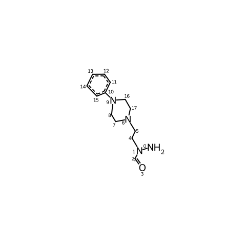 NN([C]=O)CCN1CCN(c2ccccc2)CC1